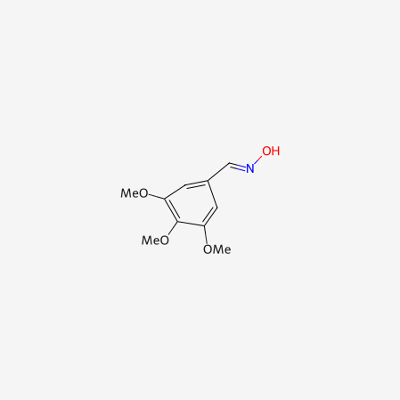 COc1cc(C=NO)cc(OC)c1OC